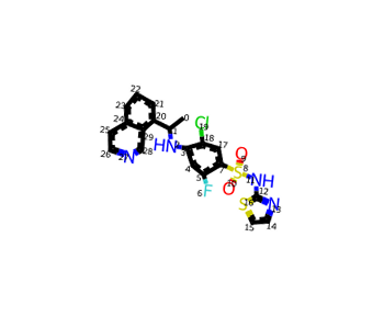 CC(Nc1cc(F)c(S(=O)(=O)Nc2nccs2)cc1Cl)c1cccc2ccncc12